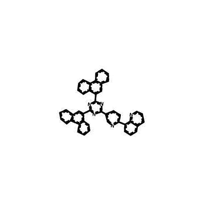 c1cnc2c(-c3ccc(-c4nc(-c5cc6ccccc6c6ccccc56)nc(-c5cc6ccccc6c6ccccc56)n4)cn3)cccc2c1